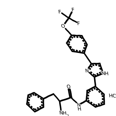 Cl.NC(Cc1ccccc1)C(=O)Nc1cccc(-c2nc(-c3ccc(OC(F)(F)F)cc3)c[nH]2)c1